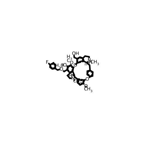 COc1ccc2cc1Oc1ccc(cc1)C[C@H]1c3cc(c(CO)cc3CCN1C)Oc1c(OC)c(OC)c(COCc3ccc(F)cc3)c3c1[C@H](C2)N(C)CC3